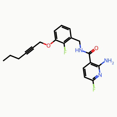 CCCC#CCOc1cccc(CNC(=O)c2ccc(F)nc2N)c1F